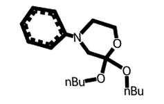 CCCCOC1(OCCCC)CN(c2ccccc2)CCO1